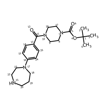 CC(C)(C)OC(=O)N1CCN(C(=O)c2ccc(N3CCCNCC3)cc2)CC1